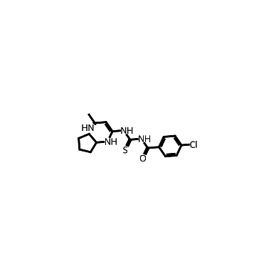 CC(=N)/C=C(/NC(=S)NC(=O)c1ccc(Cl)cc1)NC1CCCC1